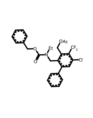 CCN(Cc1c(-c2ccccc2)cc(Cl)c(C(F)(F)F)c1COC(C)=O)C(=O)OCc1ccccc1